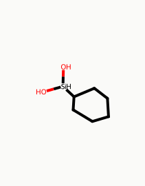 O[SiH](O)C1CCCCC1